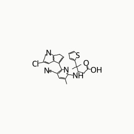 Cc1cc(C#N)c(C2=CCc3ncc(Cl)cc32)nc1NC(CC(=O)O)C(C)(C)c1cccs1